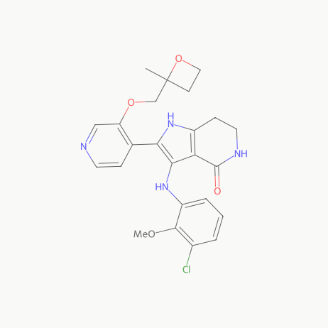 COc1c(Cl)cccc1Nc1c(-c2ccncc2OCC2(C)CCO2)[nH]c2c1C(=O)NCC2